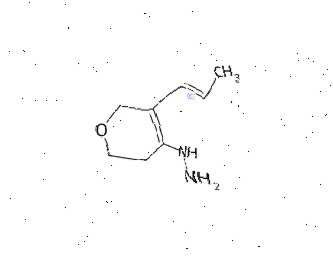 C/C=C/C1=C(NN)CCOC1